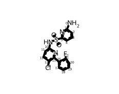 Nc1cccc(S(=O)(=O)Nc2ccc(Cl)c(-c3ccccc3F)n2)n1